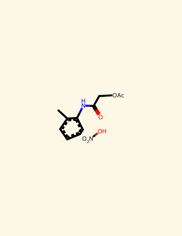 CC(=O)OCC(=O)Nc1ccccc1C.O=[N+]([O-])O